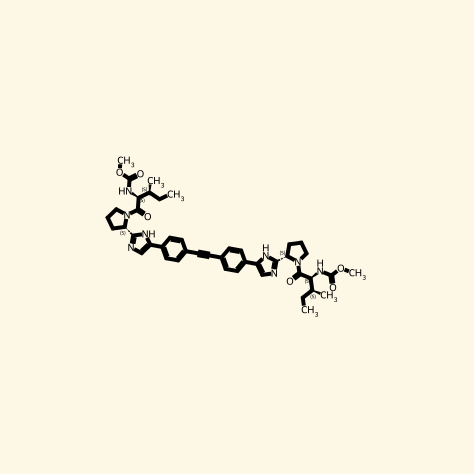 CC[C@H](C)[C@H](NC(=O)OC)C(=O)N1CCC[C@H]1c1ncc(-c2ccc(C#Cc3ccc(-c4cnc([C@@H]5CCCN5C(=O)[C@@H](NC(=O)OC)[C@@H](C)CC)[nH]4)cc3)cc2)[nH]1